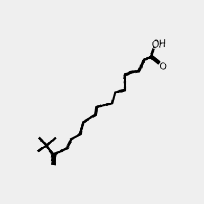 C=C(CCCCCCCCCCCCC(=O)O)C(C)(C)C